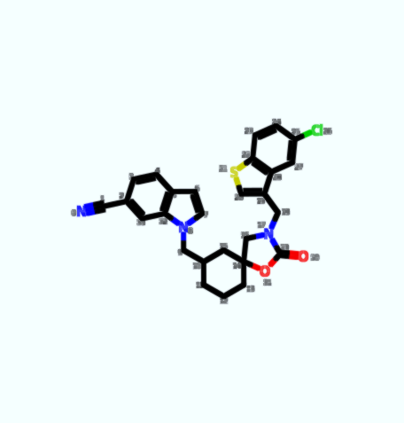 N#Cc1ccc2ccn(CC3CCCC4(C3)CN(Cc3csc5ccc(Cl)cc35)C(=O)O4)c2c1